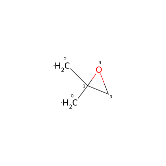 [CH2]C1([CH2])CO1